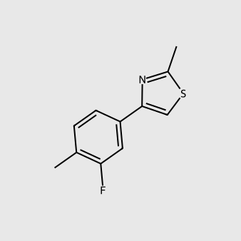 Cc1nc(-c2ccc(C)c(F)c2)cs1